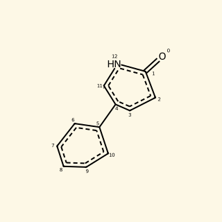 O=c1ccc(-c2ccccc2)[c][nH]1